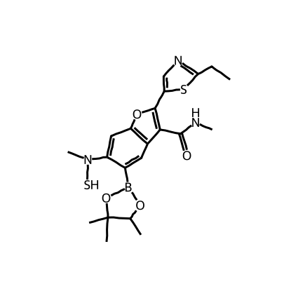 CCc1ncc(-c2oc3cc(N(C)S)c(B4OC(C)C(C)(C)O4)cc3c2C(=O)NC)s1